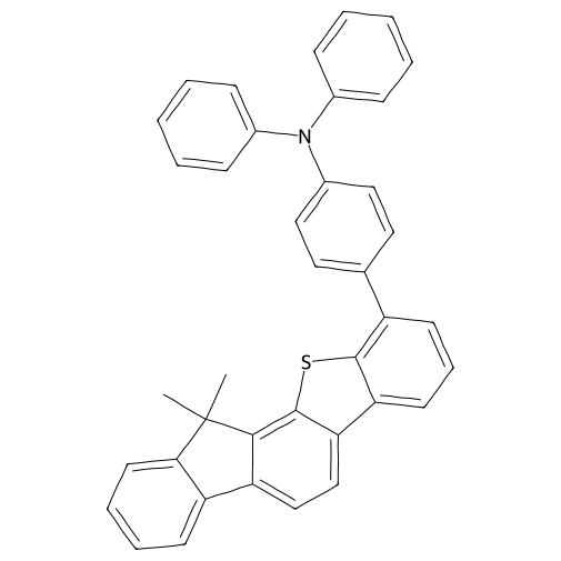 CC1(C)c2ccccc2-c2ccc3c(sc4c(-c5ccc(N(c6ccccc6)c6ccccc6)cc5)cccc43)c21